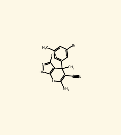 Cc1cc(Br)cc(C2(C)C(C#N)=C(N)Oc3[nH]nc(C)c32)c1